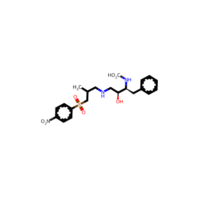 CC(CNC[C@H](O)[C@H](Cc1ccccc1)NC(=O)O)CS(=O)(=O)c1ccc([N+](=O)[O-])cc1